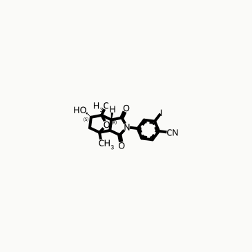 CC12C[C@H](O)C(C)(O1)[C@@H]1C(=O)N(c3ccc(C#N)c(I)c3)C(=O)C12